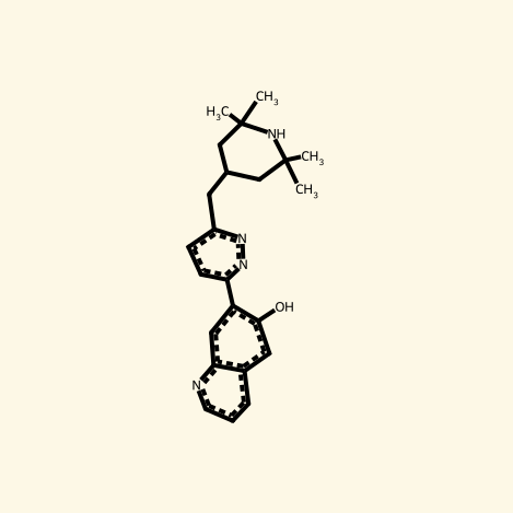 CC1(C)CC(Cc2ccc(-c3cc4ncccc4cc3O)nn2)CC(C)(C)N1